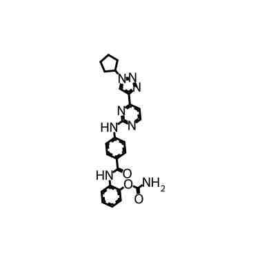 NC(=O)Oc1ccccc1NC(=O)c1ccc(Nc2nccc(-c3cn(C4CCCC4)nn3)n2)cc1